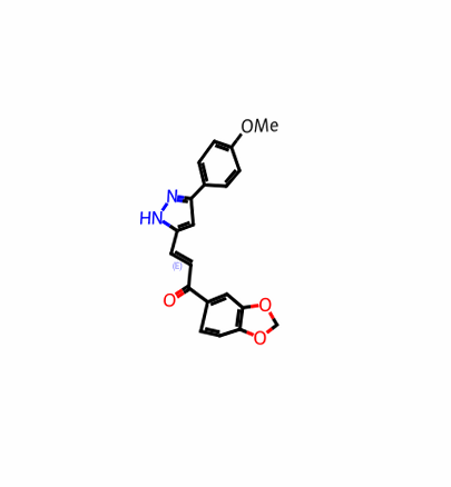 COc1ccc(-c2cc(/C=C/C(=O)c3ccc4c(c3)OCO4)[nH]n2)cc1